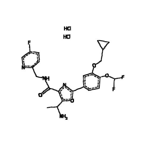 CC(N)c1oc(-c2ccc(OC(F)F)c(OCC3CC3)c2)nc1C(=O)NCc1ccc(F)cn1.Cl.Cl